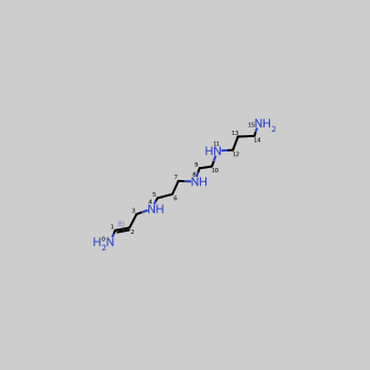 N/C=C/CNCCCNCCNCCCN